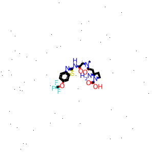 CN(CC(=O)Nc1nc2ccc(OC(F)(F)F)cc2s1)C(=O)CC1(N)CCN1C(=O)O